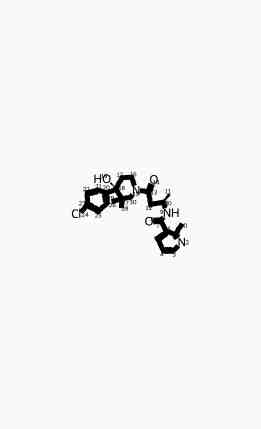 Cc1ncccc1C(=O)N[C@H](C)CC(=O)N1CC[C@](O)(c2ccc(Cl)cc2)C(C)(C)C1